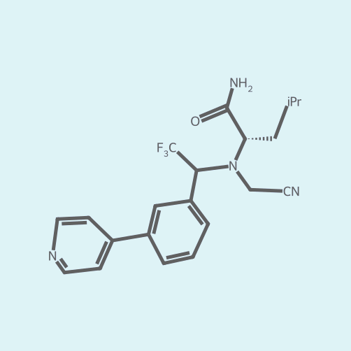 CC(C)C[C@@H](C(N)=O)N(CC#N)C(c1cccc(-c2ccncc2)c1)C(F)(F)F